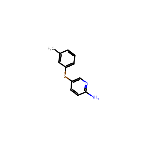 Nc1ccc(Sc2cccc(C(F)(F)F)c2)cn1